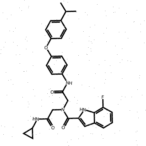 CC(C)c1ccc(Oc2ccc(NC(=O)CN(CC(=O)NC3CC3)C(=O)c3cc4cccc(F)c4[nH]3)cc2)cc1